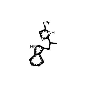 CCCc1cnc(C(C)Cc2c[nH]c3ccccc23)[nH]1